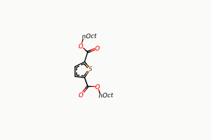 CCCCCCCCOC(=O)c1ccc(C(=O)OCCCCCCCC)s1